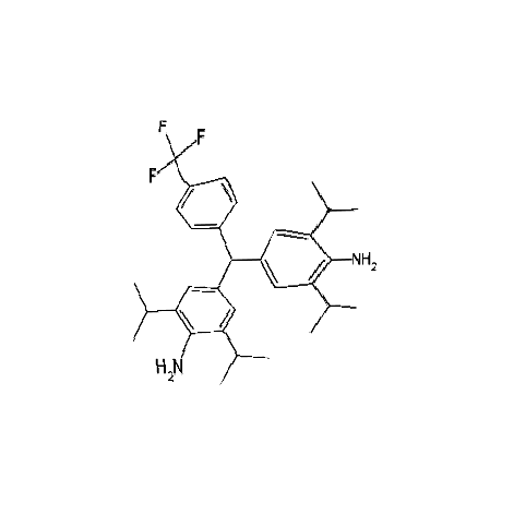 CC(C)c1cc(C(c2ccc(C(F)(F)F)cc2)c2cc(C(C)C)c(N)c(C(C)C)c2)cc(C(C)C)c1N